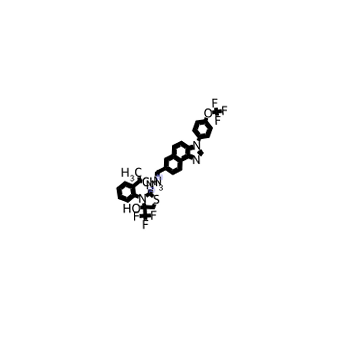 CC(C)c1ccccc1N1/C(=N/N=C/c2ccc3c(ccc4c3ncn4-c3ccc(OC(F)(F)F)cc3)c2)SCC1(O)C(F)(F)F